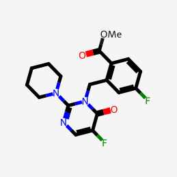 COC(=O)c1ccc(F)cc1Cn1c(N2CCCCC2)ncc(F)c1=O